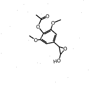 COc1cc(C2OC2O)cc(OC)c1OC(C)=O